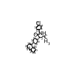 CCCC(C(=O)Nc1ccc(Cl)cc1)[C@H]1CC[C@@H](c2ccnc3ccccc32)CC1